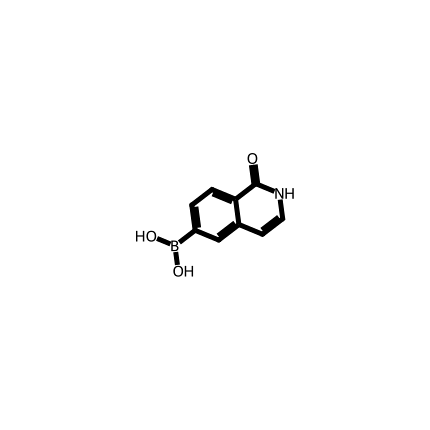 O=c1[nH]ccc2cc(B(O)O)ccc12